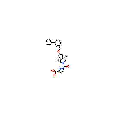 O=C(O)c1ccn(C(=O)N2C[C@H]3C[C@H](OCc4cccc(-c5ccccc5)c4)C[C@H]3C2)n1